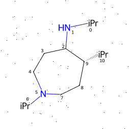 CC(C)NC1CCN(C(C)C)CC[C@H]1C(C)C